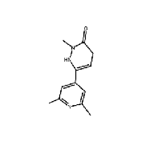 Cc1cc(C2=CCC(=O)N(C)N2)cc(C)n1